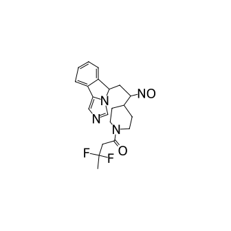 CC(F)(F)CC(=O)N1CCC(C(CC2c3ccccc3-c3cncn32)N=O)CC1